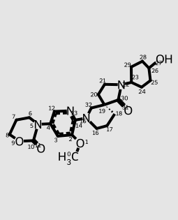 COc1cc(N2CCCOC2=O)cnc1N1CCC[C@@]2(CCN(C3CCC(O)CC3)C2=O)C1